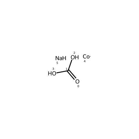 O=C(O)O.[Co].[NaH]